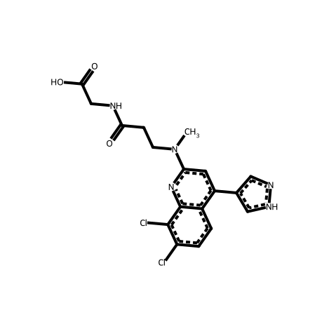 CN(CCC(=O)NCC(=O)O)c1cc(-c2cn[nH]c2)c2ccc(Cl)c(Cl)c2n1